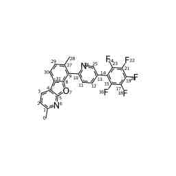 Cc1ccc2c(n1)oc1c(-c3ccc(-c4c(F)c(F)c(F)c(F)c4F)cn3)c(C)ccc12